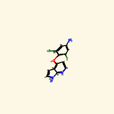 Nc1cc(F)c(Oc2ccnc3[nH]ccc23)c(F)c1